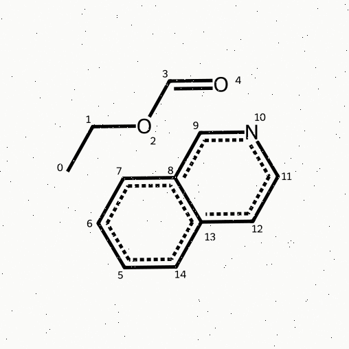 CCOC=O.c1ccc2cnccc2c1